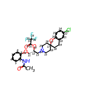 CC(=O)Nc1ccccc1OC[C@@H](CN1CCC2(CCc3cc(Cl)ccc3O2)CC1)OC(=O)C(F)(F)F